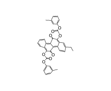 CCc1ccc2c(c1)=C(OC(=O)Oc1cccc(C)c1)C(=O)C1=c3ccccc3=C(OC(=O)Oc3cccc(C)c3)C(=O)C=21